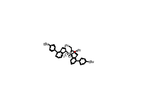 CC(C)C[C](CC(C)C)=[Hf]([CH3])([CH3])([CH]1C=Cc2c(-c3ccc(C(C)(C)C)cc3)cccc21)[CH]1C=Cc2c(-c3ccc(C(C)(C)C)cc3)cccc21